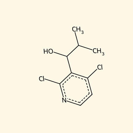 CC(C)C(O)c1c(Cl)ccnc1Cl